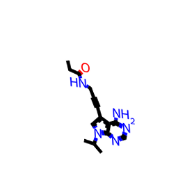 CCC(=O)NCC#Cc1cn(C(C)C)c2ncnc(N)c12